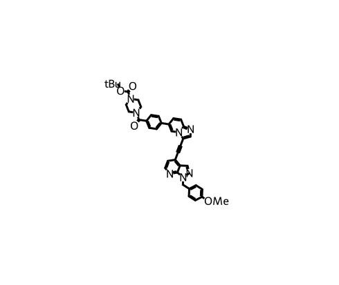 COc1ccc(Cn2ncc3c(C#Cc4cnc5ccc(-c6ccc(C(=O)N7CCN(C(=O)OC(C)(C)C)CC7)cc6)cn45)ccnc32)cc1